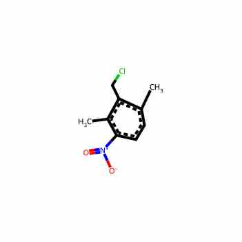 Cc1ccc([N+](=O)[O-])c(C)c1CCl